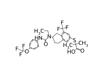 CCN(C(=O)Nc1ccc(OC(F)(F)F)cc1)C1CCc2cc(SC(C)(C)C(=O)O)cc(C(F)(F)F)c2C1